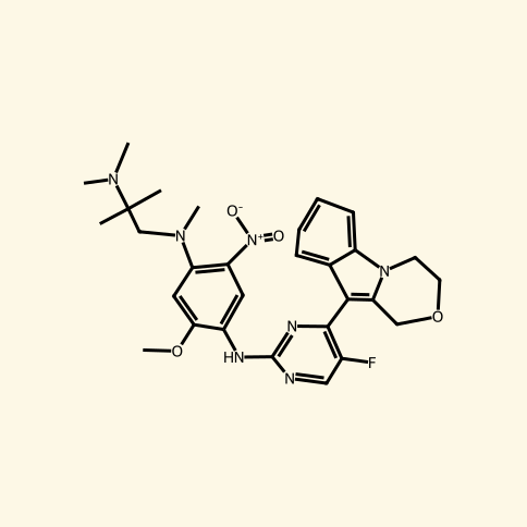 COc1cc(N(C)CC(C)(C)N(C)C)c([N+](=O)[O-])cc1Nc1ncc(F)c(-c2c3n(c4ccccc24)CCOC3)n1